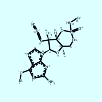 CCOc1nc(N)nc2c1ncn2[C@@H]1O[C@@H]2COP(=O)(NC(C)C)O[C@H]2[C@@]1(C)N=[N+]=[N-]